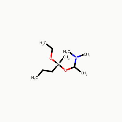 CCC[Si](C)(OCC)OC(C)N(C)C